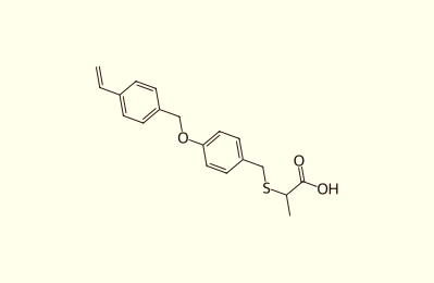 C=Cc1ccc(COc2ccc(CSC(C)C(=O)O)cc2)cc1